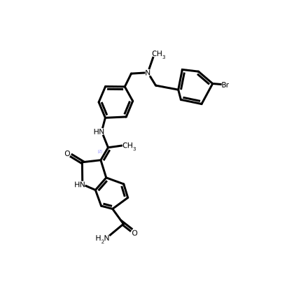 C/C(Nc1ccc(CN(C)Cc2ccc(Br)cc2)cc1)=C1/C(=O)Nc2cc(C(N)=O)ccc21